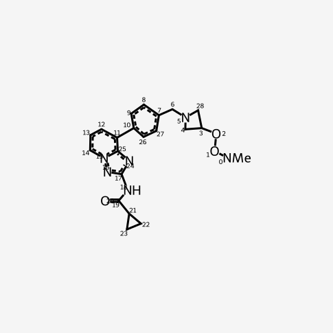 CNOOC1CN(Cc2ccc(-c3cccn4nc(NC(=O)C5CC5)nc34)cc2)C1